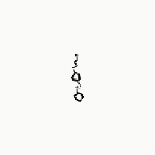 BrCCCOc1ccc(/N=N/c2ccccc2)cc1